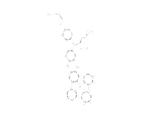 C=C/C=C(\C)N(c1ccc(C/C=C\C)cc1)c1ccc2c(c1)Oc1cc3c(cc1O2)-c1ccccc1C31c2ccccc2-c2ccccc21